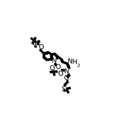 CC(C)(C)OC(=O)n1c(/C=C/C(N)=C\N(C=O)COCC[Si](C)(C)C)cc2cc(CO[Si](C)(C)C(C)(C)C)ccc21